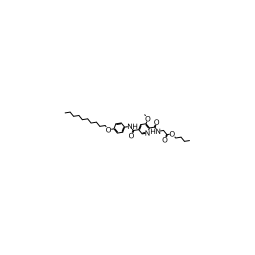 CCCCCCCCCCOc1ccc(NC(=O)c2cnc(C(=O)NCC(=O)OCCCC)c(OC)c2)cc1